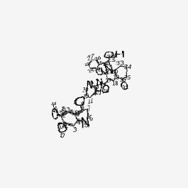 COc1cc2nccc(Oc3ccc(NC(=O)c4cc5c(n([C@@H](CO)c6ccccc6)c4=O)CCCC5=O)nc3)c2cc1OC